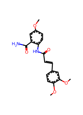 COc1ccc(NC(=O)C=Cc2ccc(OC)c(OC)c2)c(C(N)=O)c1